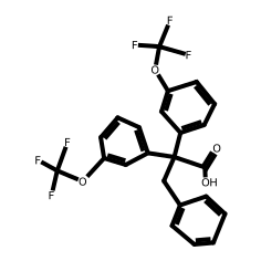 O=C(O)C(Cc1ccccc1)(c1cccc(OC(F)(F)F)c1)c1cccc(OC(F)(F)F)c1